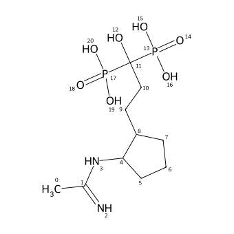 CC(=N)NC1CCCC1CCC(O)(P(=O)(O)O)P(=O)(O)O